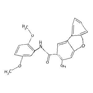 COc1ccc(OC)c(NC(=O)c2cc3c(cc2O)oc2ccccc23)c1